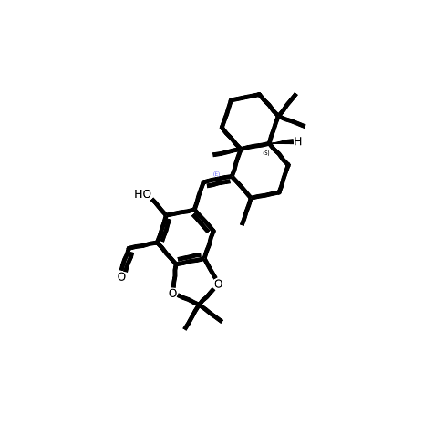 CC1CC[C@H]2C(C)(C)CCCC2(C)/C1=C/c1cc2c(c(C=O)c1O)OC(C)(C)O2